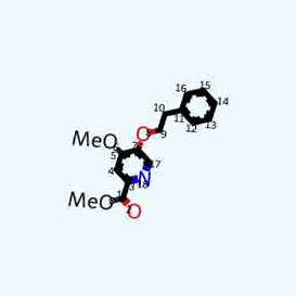 COC(=O)c1cc(OC)c(OCCc2ccccc2)cn1